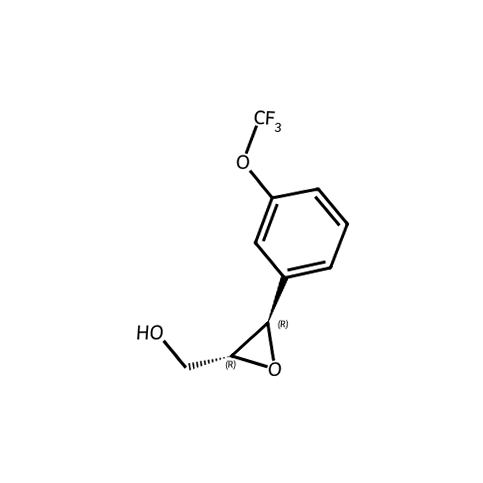 OC[C@H]1O[C@@H]1c1cccc(OC(F)(F)F)c1